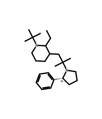 CCC1C(CC(C)(C)N2CCC[C@@H]2c2ccccc2)CCCN1C(C)(C)C